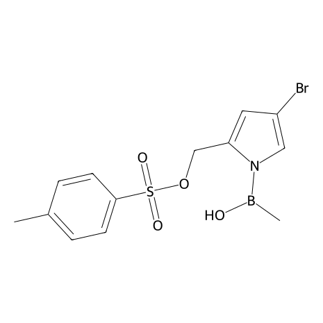 CB(O)n1cc(Br)cc1COS(=O)(=O)c1ccc(C)cc1